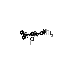 Cl.N=C(N)N1CCC(CCC(=O)Oc2ccc(C=CC(=O)OC(c3ccccc3)c3ccccc3)cc2)CC1